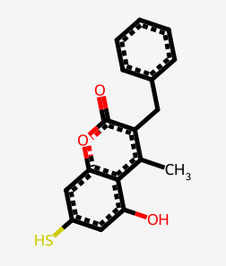 Cc1c(Cc2ccccc2)c(=O)oc2cc(S)cc(O)c12